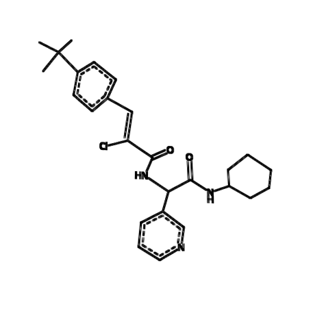 CC(C)(C)c1ccc(C=C(Cl)C(=O)NC(C(=O)NC2CCCCC2)c2cccnc2)cc1